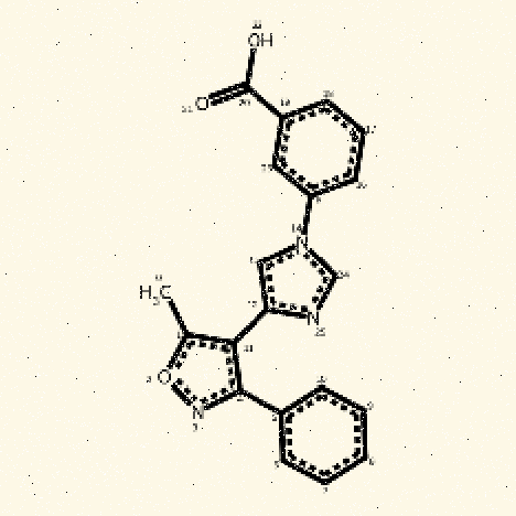 Cc1onc(-c2ccccc2)c1-c1cn(-c2cccc(C(=O)O)c2)cn1